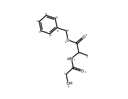 CC(NC(=O)CO)C(=O)OCc1ccccc1